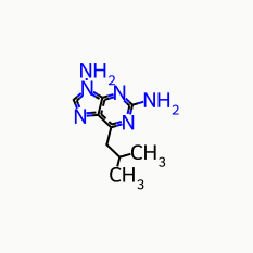 CC(C)Cc1nc(N)nc2c1ncn2N